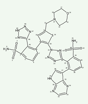 NS(=O)(=O)c1cccc(-c2cc(CN3CCOCC3)sc2-n2nnc(-c3c(-c4c[nH]c5nccnc45)cccc3S(N)(=O)=O)n2)c1-c1nn[nH]n1